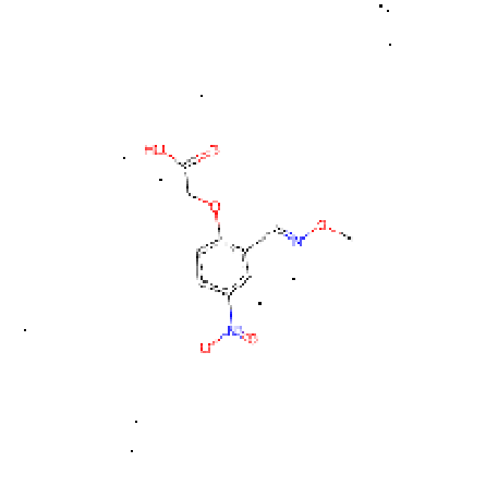 CON=Cc1cc([N+](=O)[O-])ccc1OCC(=O)O